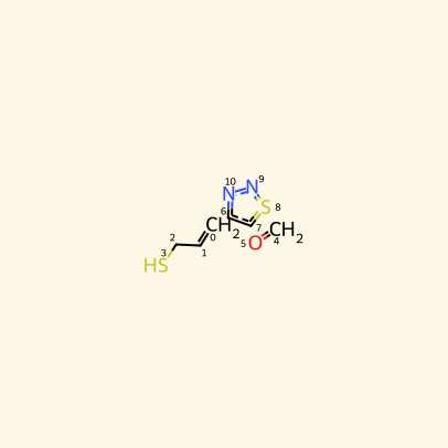 C=CCS.C=O.c1csnn1